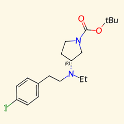 CCN(CCc1ccc(Cl)cc1)[C@@H]1CCN(C(=O)OC(C)(C)C)C1